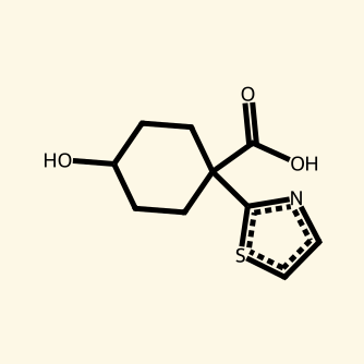 O=C(O)C1(c2nccs2)CCC(O)CC1